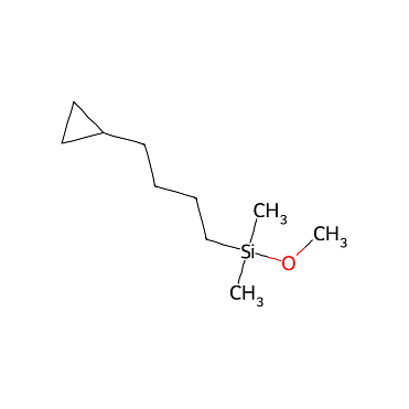 CO[Si](C)(C)CCCCC1CC1